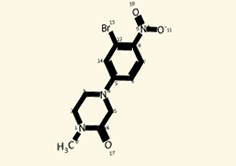 CN1CCN(c2ccc([N+](=O)[O-])c(Br)c2)CC1=O